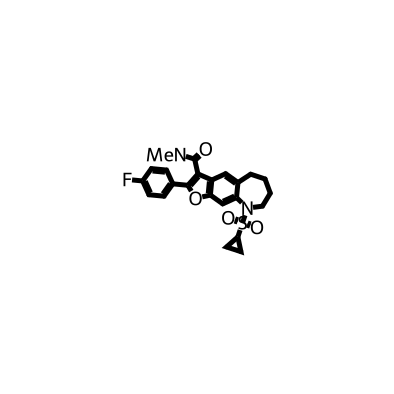 CNC(=O)c1c(-c2ccc(F)cc2)oc2cc3c(cc12)CCCCN3S(=O)(=O)C1CC1